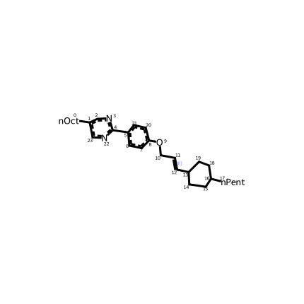 CCCCCCCCc1cnc(-c2ccc(OC/C=C/C3CCC(CCCCC)CC3)cc2)nc1